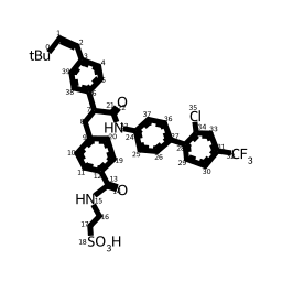 CC(C)(C)/C=C\c1ccc(C(Cc2ccc(C(=O)NCCS(=O)(=O)O)cc2)C(=O)Nc2ccc(-c3ccc(C(F)(F)F)cc3Cl)cc2)cc1